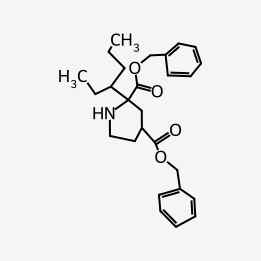 CCCC(CC)C1(C(=O)OCc2ccccc2)CC(C(=O)OCc2ccccc2)CCN1